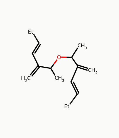 C=C(/C=C/CC)C(C)OC(C)C(=C)/C=C/CC